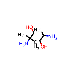 CC(C)(N)CO.CC(N)CO